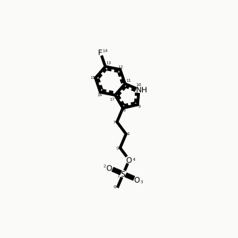 CS(=O)(=O)OCCCc1c[nH]c2cc(F)ccc12